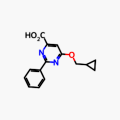 O=C(O)c1cc(OCC2CC2)nc(-c2ccccc2)n1